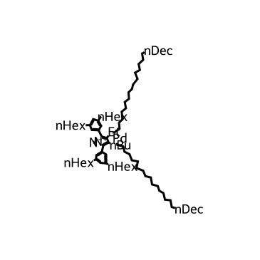 CCCCCCCCCCCCCCCCCCCCCCCCCC[CH2][Pd][CH2]CCCCCCCCCCCCCCCCCCCCCCCCCC.CCCCCCc1cc(CCCCCC)cc(C2=C(CC)C(CCCC)=C(c3cc(CCCCCC)cc(CCCCCC)c3)[N+]2=[N-])c1